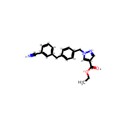 CCOC(=O)c1cnn(Cc2ccc(Cc3cccc(C#N)c3)cc2)c1